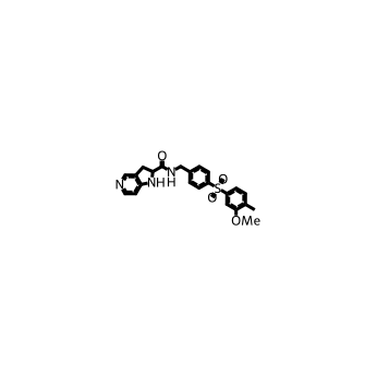 COc1cc(S(=O)(=O)c2ccc(CNC(=O)C3Cc4cnccc4N3)cc2)ccc1C